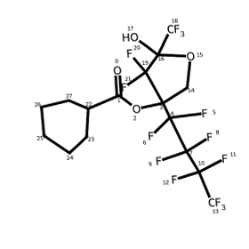 O=C(OC1(C(F)(F)C(F)(F)C(F)(F)C(F)(F)F)COC(O)(C(F)(F)F)C1(F)F)C1CCCCC1